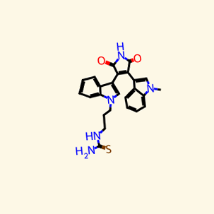 Cn1cc(C2=C(c3cn(CCCNC(N)=S)c4ccccc34)C(=O)NC2=O)c2ccccc21